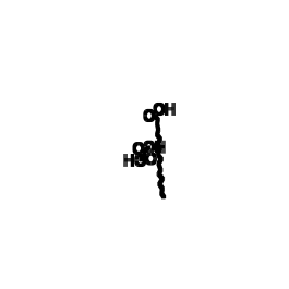 CCCCCCCCCCCCCCCCCC(=O)O.O=C(O)C(=O)O